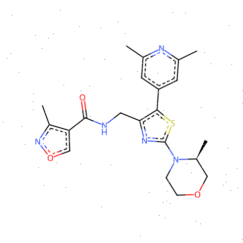 Cc1cc(-c2sc(N3CCOC[C@@H]3C)nc2CNC(=O)c2conc2C)cc(C)n1